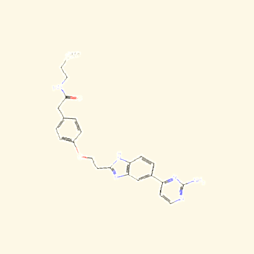 COCCNC(=O)Cc1ccc(OCCc2nc3cc(-c4ccnc(N)n4)ccc3[nH]2)cc1